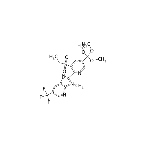 CCS(=O)(=O)c1cc(C(OC)(OC)OC)cnc1-c1nc2cc(C(F)(F)F)cnc2n1C